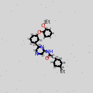 CCOc1ccccc1Oc1cccc(-c2cncc(NC(=O)Cc3ccc(CC)cc3)n2)c1